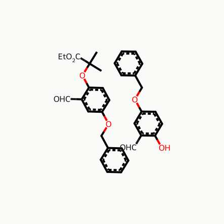 CCOC(=O)C(C)(C)Oc1ccc(OCc2ccccc2)cc1C=O.O=Cc1cc(OCc2ccccc2)ccc1O